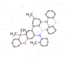 Cc1cc2c3c(c1)N1c4ccccc4Sc4cccc(c41)B3N(c1ccccc1C)c1cc3c(cc1-2)C(C)(C)c1ccccc1O3